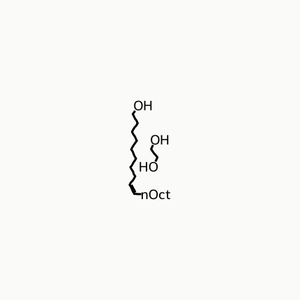 CCCCCCCC/C=C\CCCCCCCCO.OCCO